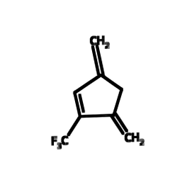 C=C1C=C(C(F)(F)F)C(=C)C1